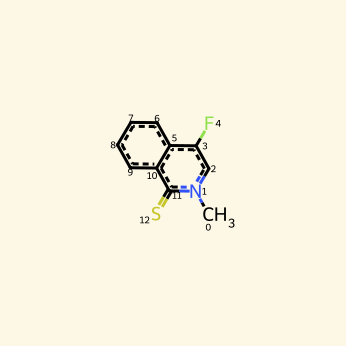 Cn1cc(F)c2ccccc2c1=S